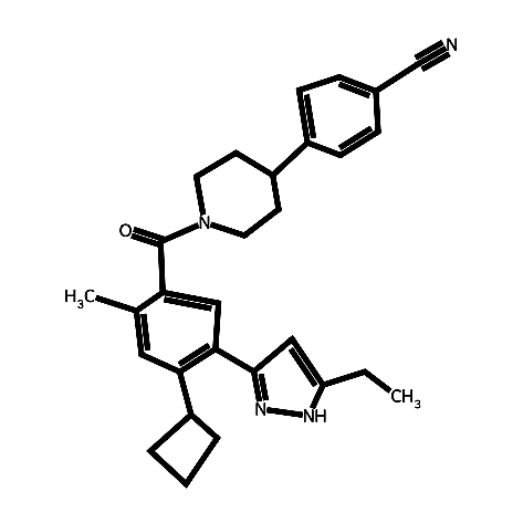 CCc1cc(-c2cc(C(=O)N3CCC(c4ccc(C#N)cc4)CC3)c(C)cc2C2CCC2)n[nH]1